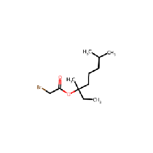 CCC(C)(CCCC(C)C)OC(=O)CBr